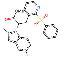 COC(=O)C(Cc1cccnc1S(=O)(=O)c1ccccc1)n1c(C)cc2cc(F)ccc21